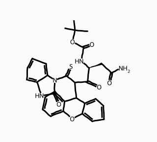 CC(C)(C)OC(=O)N[C@@H](CC(N)=O)C(=O)C(C(=S)n1c(=O)[nH]c2ccccc21)C1c2ccccc2Oc2ccccc21